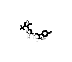 Cc1occ(C(C)(C)C)c1-c1cc(NC=C2C(=O)Nc3cc(F)ccc32)[nH]n1